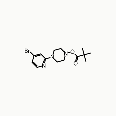 CC(C)(C)C(=O)ON1CCN(c2cc(Br)ccn2)CC1